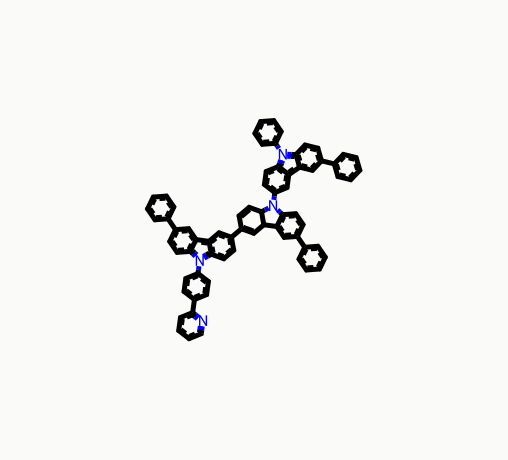 C1=CC2C(C=C1c1ccc3c(c1)c1cc(-c4ccccc4)ccc1n3-c1ccc(-c3ccccn3)cc1)c1cc(-c3ccccc3)ccc1N2c1ccc2c(c1)c1cc(-c3ccccc3)ccc1n2-c1ccccc1